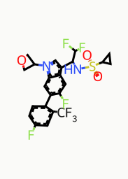 O=S(=O)(NC(c1cn(C2COC2)c2cc(-c3ccc(F)cc3C(F)(F)F)c(F)cc12)C(F)F)C1CC1